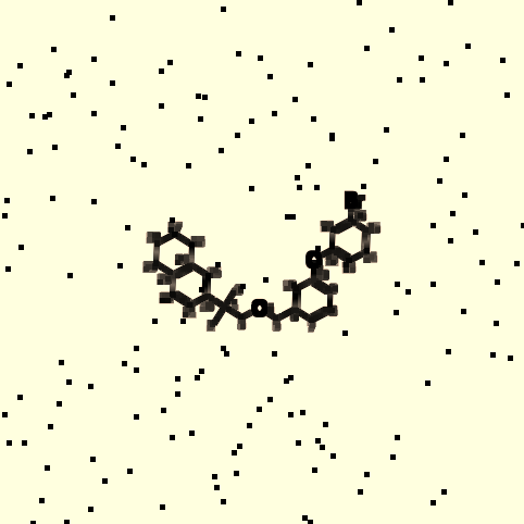 CC(C)(COCc1cccc(Oc2cccc(Br)c2)c1)c1ccc2c(c1)CCCC2